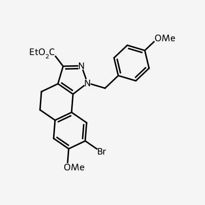 CCOC(=O)c1nn(Cc2ccc(OC)cc2)c2c1CCc1cc(OC)c(Br)cc1-2